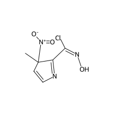 CC1([N+](=O)[O-])C=CN=C1/C(Cl)=N\O